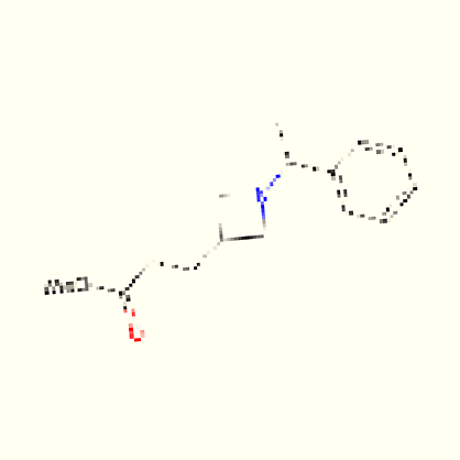 COC(=O)CCC1CN(C(C)c2ccccc2)C1